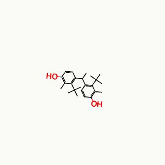 Cc1c(O)ccc(C(C)c2ccc(O)c(C)c2C(C)(C)C)c1C(C)(C)C